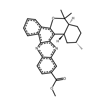 COC(=O)c1ccc2nc3c(nc2c1)c1c(c2ccccc23)OC(C)(C)[C@H]2CC[C@H](C)C[C@H]12